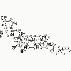 CC(C)C1=C2[C@H]3CC[C@@H]4[C@@]5(C)CC[C@H](OC(=O)CC(C)(C)C(=O)O)C(C)(C)[C@@H]5CC[C@@]4(C)[C@]3(C)CC[C@@]2([C@@H](O)CN(CCN(C)C)C(=O)c2ccc(Cl)cc2Cl)CC1=O